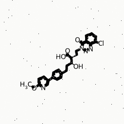 COc1ccc(-c2ccc(CC[C@@H](O)[C@H](CCn3nnc4c(Cl)cccc4c3=O)C(=O)O)cc2)cn1